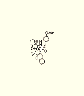 COc1ccc(C[C@H](NC(=O)[C@@H]2NCCC[C@@H]2O)C(=O)N[C@@H](Cc2ccccc2)C(=O)C2(C)CC2)cc1